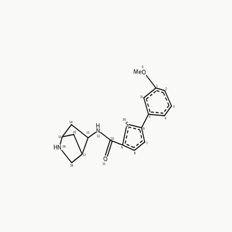 COc1cccc(-c2ccc(C(=O)NC3CC4CC3CN4)s2)c1